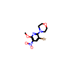 COc1nc(N2CCOCC2)c(Br)cc1[N+](=O)[O-]